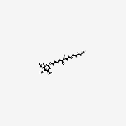 O=C(CCCCO[C@H]1CC(O)[C@@H](O)[C@@H](CO)O1)NCCOCCOCO